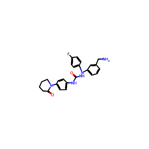 NCc1cccc(N(NC(=O)Nc2ccc(N3CCCCC3=O)cc2)c2ccc(F)cc2)c1